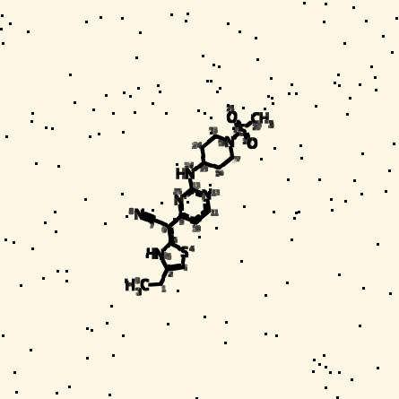 CCC1=CS/C(=C(/C#N)c2ccnc(NC3CCN(S(C)(=O)=O)CC3)n2)N1